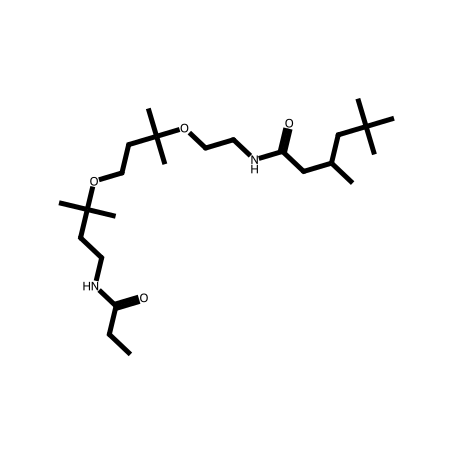 CCC(=O)NCCC(C)(C)OCCC(C)(C)OCCNC(=O)CC(C)CC(C)(C)C